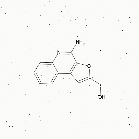 Nc1nc2ccccc2c2cc(CO)oc12